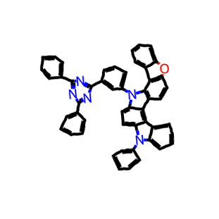 c1ccc(-c2nc(-c3ccccc3)nc(-c3cccc(-n4c5ccc6c(c7ccccc7n6-c6ccccc6)c5c5ccc6oc7ccccc7c6c54)c3)n2)cc1